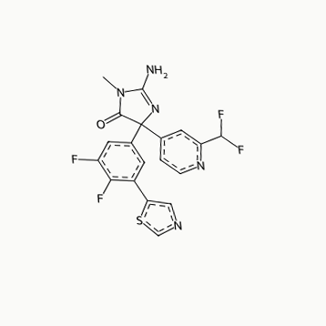 CN1C(=O)C(c2ccnc(C(F)F)c2)(c2cc(F)c(F)c(-c3cncs3)c2)N=C1N